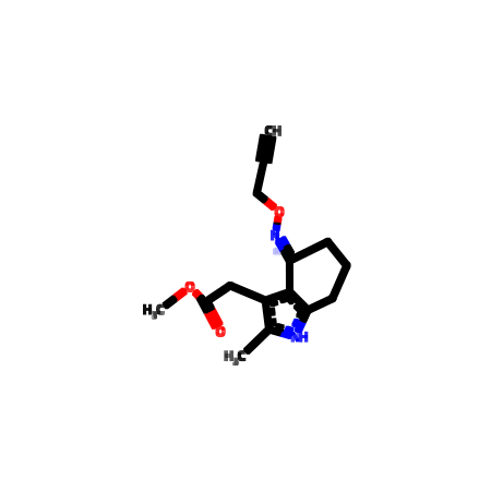 C#CCO/N=C1\CCCc2[nH]c(C)c(CC(=O)OC)c21